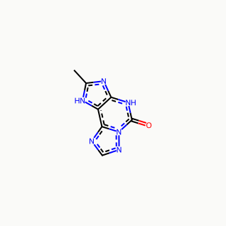 Cc1nc2[nH]c(=O)n3ncnc3c2[nH]1